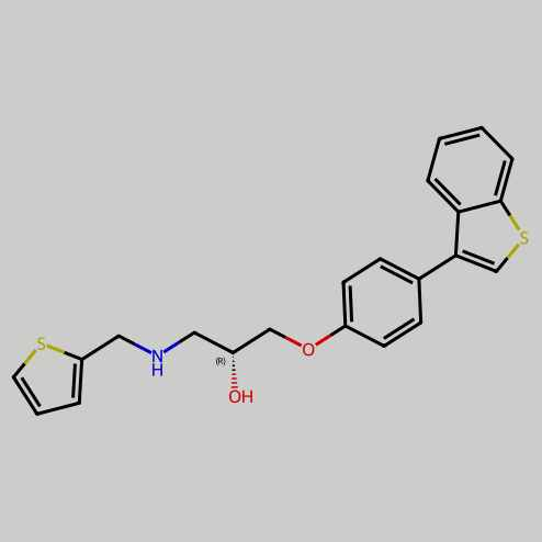 O[C@H](CNCc1cccs1)COc1ccc(-c2csc3ccccc23)cc1